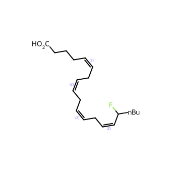 CCCCC(F)/C=C\C/C=C\C/C=C\C/C=C\CCCC(=O)O